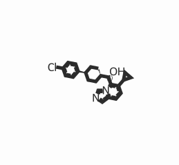 O[C@H](c1c(C2CC2)ccc2cncn12)[C@H]1CC[C@H](c2ccc(Cl)cc2)CC1